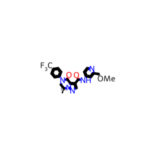 COCc1cc(NC(=O)c2cnn3c2C(=O)N(c2ccc(C(F)(F)F)cc2)C[C@@H]3C)ccn1